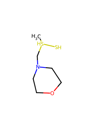 C[SH](S)CN1CCOCC1